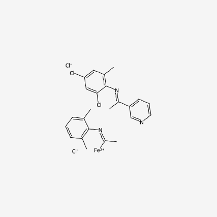 CC(=Nc1c(C)cc(Cl)cc1Cl)c1cccnc1.C[C]([Fe+2])=Nc1c(C)cccc1C.[Cl-].[Cl-]